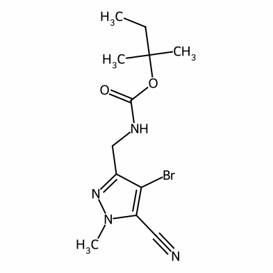 CCC(C)(C)OC(=O)NCc1nn(C)c(C#N)c1Br